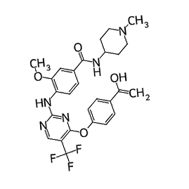 C=C(O)c1ccc(Oc2nc(Nc3ccc(C(=O)NC4CCN(C)CC4)cc3OC)ncc2C(F)(F)F)cc1